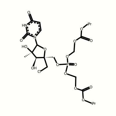 CC(C)OC(=O)OCOP(=O)(OCOC(=O)OC(C)C)OC[C@@]1(CCl)OC(n2ccc(=O)[nH]c2=O)[C@](C)(O)[C@@H]1O